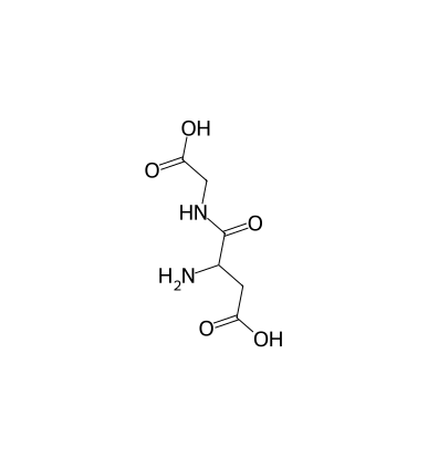 NC(CC(=O)O)C(=O)NCC(=O)O